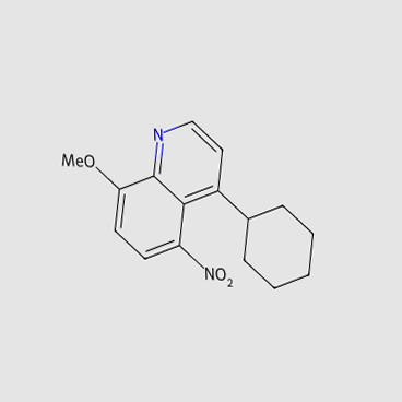 COc1ccc([N+](=O)[O-])c2c(C3CCCCC3)ccnc12